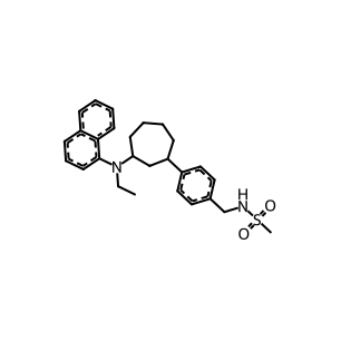 CCN(c1cccc2ccccc12)C1CCCCC(c2ccc(CNS(C)(=O)=O)cc2)C1